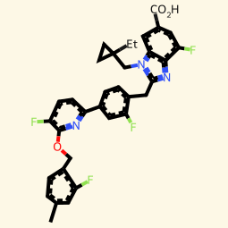 CCC1(Cn2c(Cc3ccc(-c4ccc(F)c(OCc5ccc(C)cc5F)n4)cc3F)nc3c(F)cc(C(=O)O)cc32)CC1